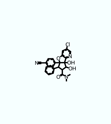 CN(C)C(=O)C1C(O)C2(O)c3ncc(Cl)cc3OC2(c2ccc(C#N)cc2)C1c1ccccc1